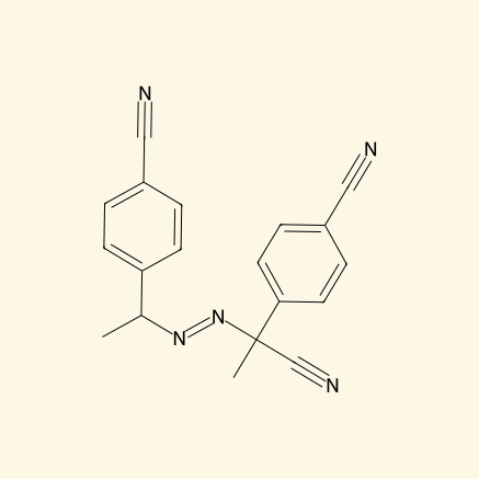 CC(N=NC(C)(C#N)c1ccc(C#N)cc1)c1ccc(C#N)cc1